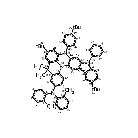 Cc1ccccc1N(c1ccc2c(c1)C(C)(C)c1cc(C(C)(C)C)cc3c1B2c1cc2c4cc(C(C)(C)C)ccc4n(-c4ccccc4)c2cc1N3c1ccc(C(C)(C)C)cc1)c1ccccc1C